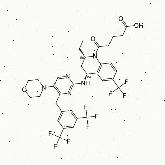 CC[C@@H]1C[C@H](Nc2ncc(N3CCOCC3)c(Cc3cc(C(F)(F)F)cc(C(F)(F)F)c3)n2)c2cc(C(F)(F)F)ccc2N1C(=O)CCCC(=O)O